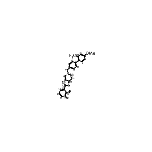 COc1ccc(-c2ccc(Cn3cc4nc(-c5cccc(F)c5F)nc-4cn3)cc2)c(C(F)(F)F)c1